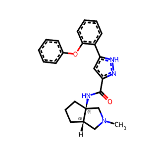 CN1C[C@@H]2CCC[C@]2(NC(=O)c2cc(-c3ccccc3Oc3ccccc3)[nH]n2)C1